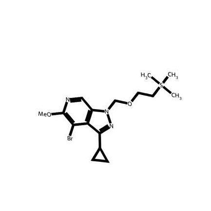 COc1ncc2c(c(C3CC3)nn2COCCS(C)(C)C)c1Br